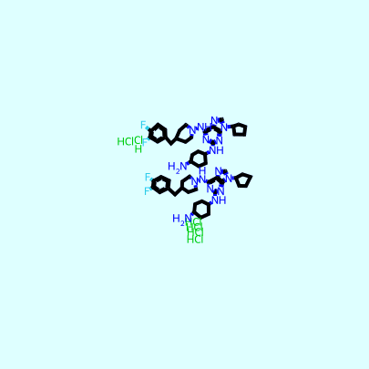 Cl.Cl.Cl.Cl.Cl.Cl.NC1CCC(Nc2nc(NN3CCC(Cc4ccc(F)c(F)c4)CC3)c3ncn(C4CCCC4)c3n2)CC1.NC1CCC(Nc2nc(NN3CCC(Cc4ccc(F)c(F)c4)CC3)c3ncn(C4CCCC4)c3n2)CC1